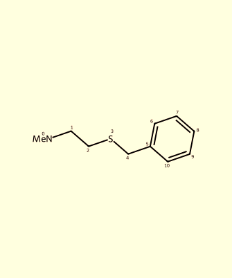 CNCCSCc1ccccc1